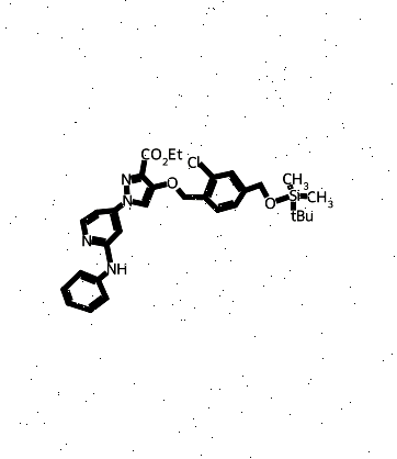 CCOC(=O)c1nn(-c2ccnc(Nc3ccccc3)c2)cc1OCc1ccc(CO[Si](C)(C)C(C)(C)C)cc1Cl